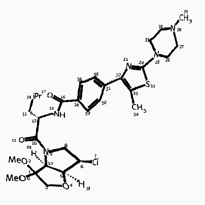 COC1(OC)CO[C@@H]2[C@H](Cl)CN(C(=O)[C@H](CC(C)C)NC(=O)c3ccc(-c4nc(N5CCN(C)CC5)sc4C)cc3)[C@@H]21